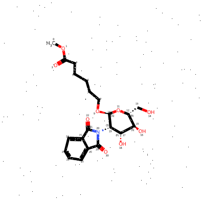 COC(=O)CCCCCO[C@H]1O[C@H](CO)[C@@H](O)[C@H](O)[C@@H]1N1C(=O)c2ccccc2C1=O